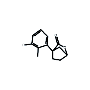 Cc1c(F)cccc1C12CCC(C1)OC2=O